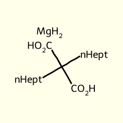 CCCCCCCC(CCCCCCC)(C(=O)O)C(=O)O.[MgH2]